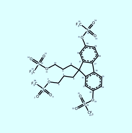 O=S(=O)(OCCCC1(CCCOS(=O)(=O)C(F)(F)F)c2cc(OS(=O)(=O)C(F)(F)F)ccc2-c2ccc(OS(=O)(=O)C(F)(F)F)cc21)C(F)(F)F